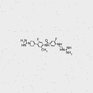 Cc1cc(C2=CCN(C(=N)N)CC2)c(F)cc1NC(=O)c1ccc(NCCNC(=N)N)c(F)c1